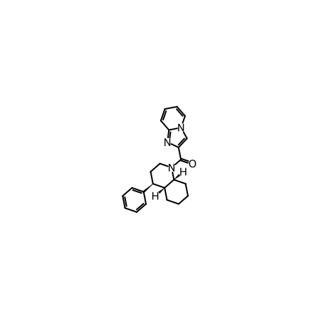 O=C(c1cn2ccccc2n1)N1CC[C@H](c2ccccc2)[C@H]2CCCC[C@H]21